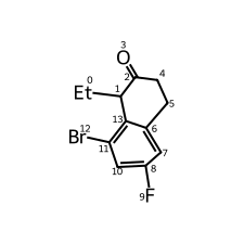 CCC1C(=O)CCc2cc(F)cc(Br)c21